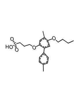 CCCCOc1cc(-c2ccc(C)cc2)c(OCCCS(=O)(=O)O)cc1C